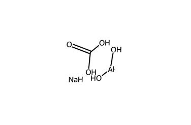 O=C(O)O.[NaH].[OH][Al][OH]